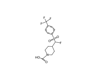 O=C(O)N1CCC(C(F)S(=O)(=O)c2ccc(C(F)(F)F)cc2)CC1